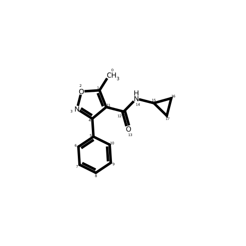 Cc1onc(-c2ccccc2)c1C(=O)NC1CC1